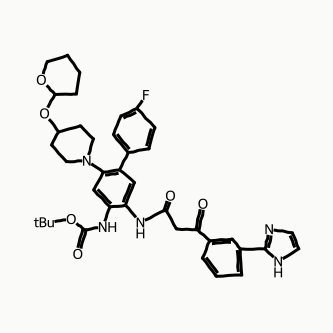 CC(C)(C)OC(=O)Nc1cc(N2CCC(OC3CCCCO3)CC2)c(-c2ccc(F)cc2)cc1NC(=O)CC(=O)c1cccc(-c2ncc[nH]2)c1